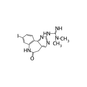 CN(C)C(=N)Nc1ncc2c(n1)-c1ccc(I)cc1NC(=O)C2